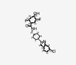 O=C(NC[C@H]1CC[C@H](n2cc3ccc(Cl)cc3n2)CC1)c1cc(F)c(O)cc1F